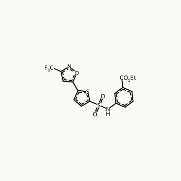 CCOC(=O)c1cccc(NS(=O)(=O)c2ccc(-c3cc(C(F)(F)F)no3)s2)c1